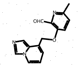 Cc1ccc(OCc2cccn3cncc23)c(C=O)n1